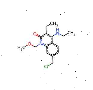 CCNc1c(CC)c(=O)n(COC)c2cc(CCl)ccc12